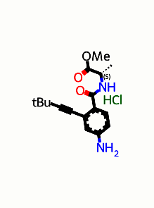 COC(=O)[C@H](C)NC(=O)c1ccc(N)cc1C#CC(C)(C)C.Cl